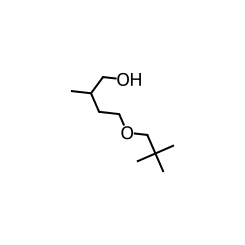 CC(CO)CCOCC(C)(C)C